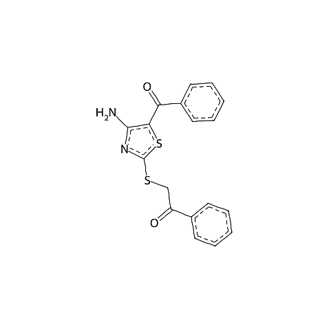 Nc1nc(SCC(=O)c2ccccc2)sc1C(=O)c1ccccc1